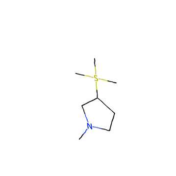 CN1CCC(S(C)(C)C)C1